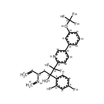 C=CN(CC(O)(c1ccc(F)cc1F)C(F)(F)c1ccc(-c2cccc(OC(F)(F)F)c2)cn1)N=C